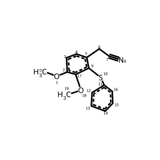 COc1ccc(CC#N)c(Sc2ccccc2)c1OC